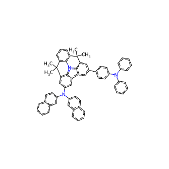 CC1(C)c2cccc3c2-n2c4c1cc(-c1ccc(N(c5ccccc5)c5ccccc5)cc1)cc4c1cc(N(c4ccc5ccccc5c4)c4ccc5ccccc5c4)cc(c12)C3(C)C